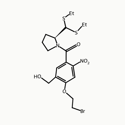 CCSC(SCC)[C@@H]1CCCN1C(=O)c1cc(CO)c(OCCBr)cc1[N+](=O)[O-]